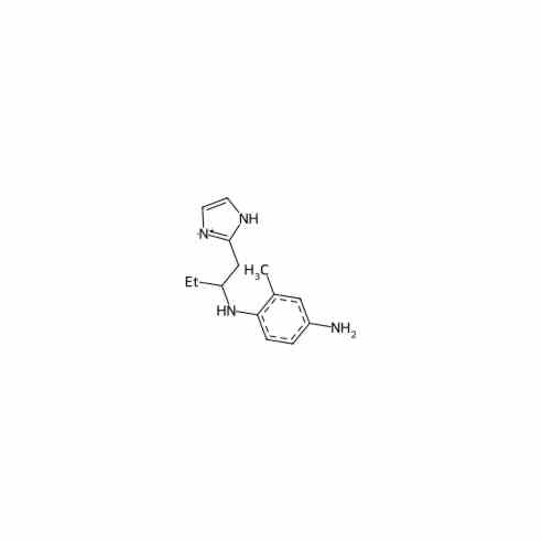 CCC(CC1=[N+]C=CN1)Nc1ccc(N)cc1C